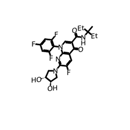 CCC(C)(CC)NC(=O)c1cn(-c2c(F)cc(F)cc2F)c2nc(N3C[C@@H](O)[C@H](O)C3)c(F)cc2c1=O